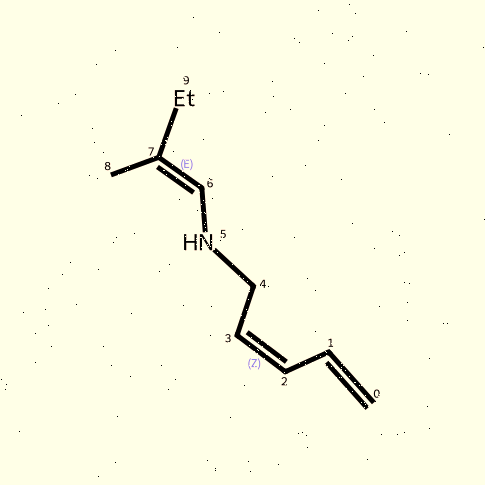 C=C/C=C\CN/C=C(\C)CC